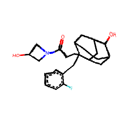 O=C(CC1(Cc2ccccc2F)C2CC3CC1CC(C2)C3O)N1CC(O)C1